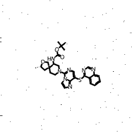 C[C@H]1CC2(CCN(c3ncc(Sc4ncnc5ccccc45)c4nccn34)CC2NC(=O)OC(C)(C)C)CO1